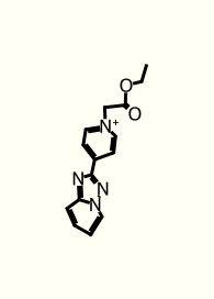 CCOC(=O)C[n+]1ccc(-c2nc3ccccn3n2)cc1